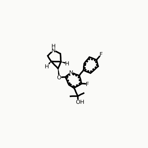 CC(C)(O)c1cc(O[C@H]2[C@@H]3CNC[C@@H]32)nc(-c2ccc(F)cc2)c1F